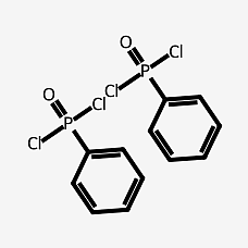 O=P(Cl)(Cl)c1ccccc1.O=P(Cl)(Cl)c1ccccc1